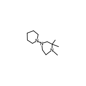 CN1CCN(N2CCCCC2)CC1(C)C